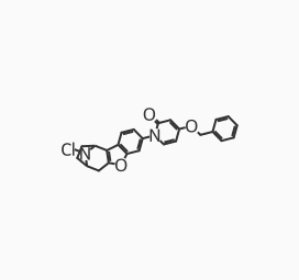 O=c1cc(OCc2ccccc2)ccn1-c1ccc2c3c(oc2c1)CC1CCC3N1Cl